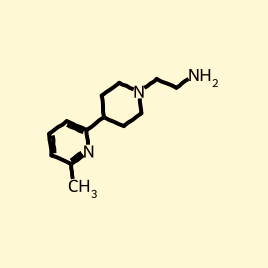 Cc1cccc(C2CCN(CCN)CC2)n1